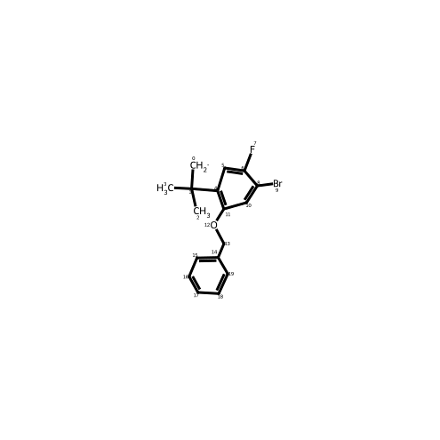 [CH2]C(C)(C)c1cc(F)c(Br)cc1OCc1ccccc1